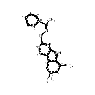 CC(=NNc1nnc2c(n1)[nH]c1c(C)cc(C)cc12)c1ccccn1